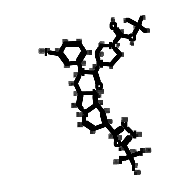 CC(C)(C)OC(=O)N1CCN(C(=O)N(Cc2cn3ccc(-c4nnc(C(F)(F)F)o4)cc3n2)c2cccc(F)c2)CC1